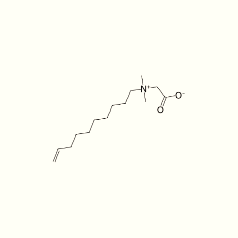 C=CCCCCCCCC[N+](C)(C)CC(=O)[O-]